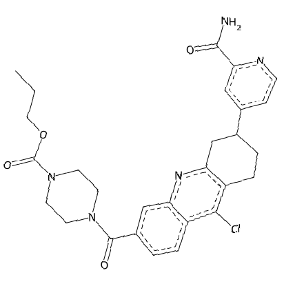 CCCOC(=O)N1CCN(C(=O)c2ccc3c(Cl)c4c(nc3c2)CC(c2ccnc(C(N)=O)c2)CC4)CC1